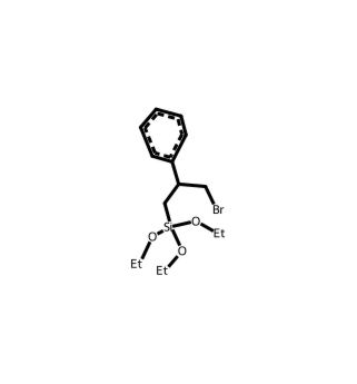 CCO[Si](CC(CBr)c1ccccc1)(OCC)OCC